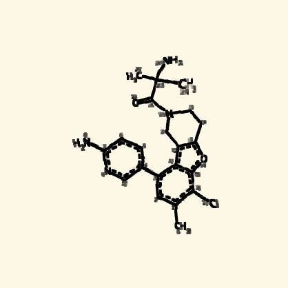 Cc1cc(-c2ccc(N)nc2)c2c3c(oc2c1Cl)CCN(C(=O)C(C)(C)N)C3